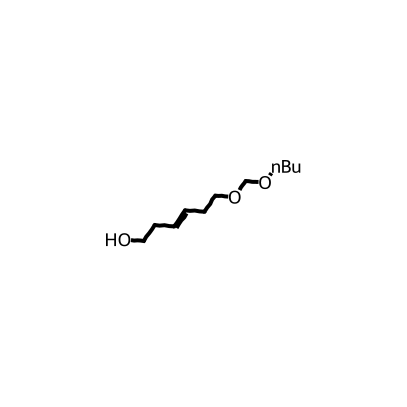 CCCCOCOCCC=CCCO